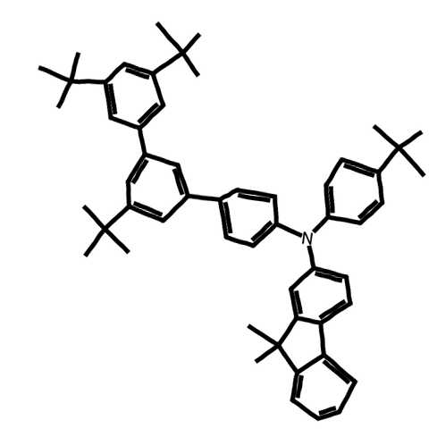 CC(C)(C)c1ccc(N(c2ccc(-c3cc(-c4cc(C(C)(C)C)cc(C(C)(C)C)c4)cc(C(C)(C)C)c3)cc2)c2ccc3c(c2)C(C)(C)c2ccccc2-3)cc1